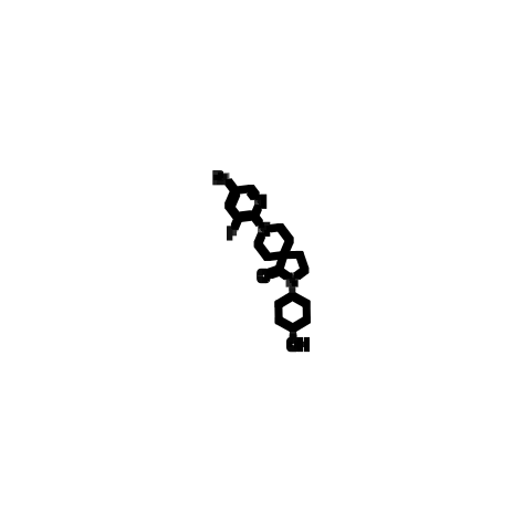 O=C1N([C@H]2CC[C@H](O)CC2)CCC12CCN(c1ncc(Br)cc1F)CC2